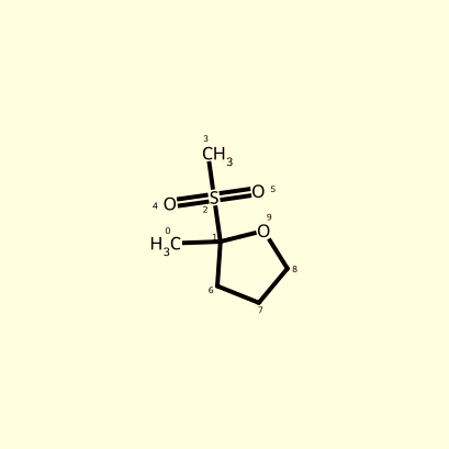 CC1(S(C)(=O)=O)CCCO1